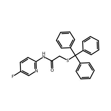 O=C(CSC(c1ccccc1)(c1ccccc1)c1ccccc1)Nc1ccc(F)cn1